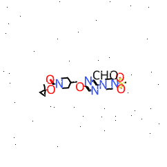 CC1(OC(=O)N2CCC(COc3cnc(N4CCN(S(C)(=O)=O)CC4)c(C=O)n3)CC2)CC1